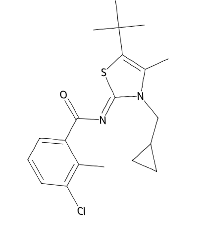 Cc1c(Cl)cccc1C(=O)/N=c1\sc(C(C)(C)C)c(C)n1CC1CC1